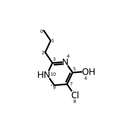 CCCC1=NC(O)=C(Cl)[CH]N1